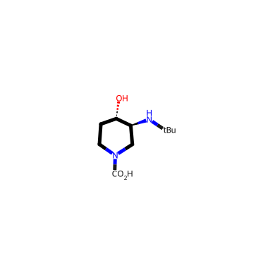 CC(C)(C)N[C@H]1CN(C(=O)O)CC[C@@H]1O